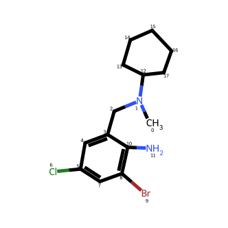 CN(Cc1cc(Cl)cc(Br)c1N)C1CCCCC1